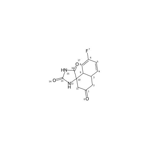 O=C1CC2C=CC(F)=CC2C2(C1)NC(=O)NC2=O